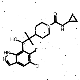 CC(C)(C1CCN(C(=O)NC2CC2)CC1)[C@H](O)c1c(F)c(Cl)cc2cn[nH]c12